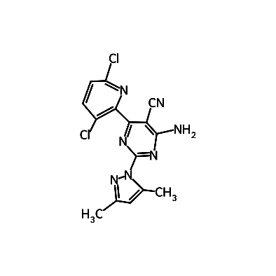 Cc1cc(C)n(-c2nc(N)c(C#N)c(-c3nc(Cl)ccc3Cl)n2)n1